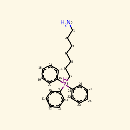 NCCCCCCC[PH](c1ccccc1)(c1ccccc1)c1ccccc1